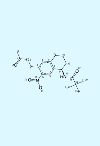 CC(=O)OCc1cc2c(cc1[N+](=O)[O-])[C@H](NC(=O)C(F)(F)F)CCC2